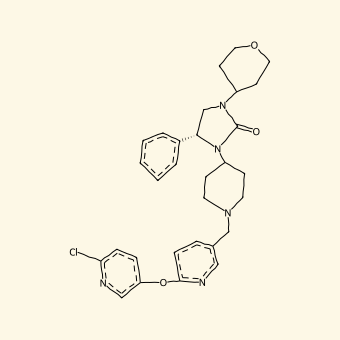 O=C1N(C2CCOCC2)C[C@@H](c2ccccc2)N1C1CCN(Cc2ccc(Oc3ccc(Cl)nc3)nc2)CC1